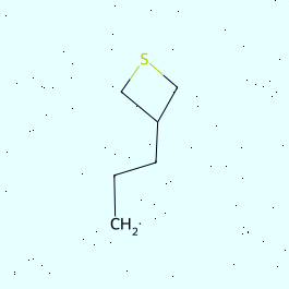 [CH2]CCC1CSC1